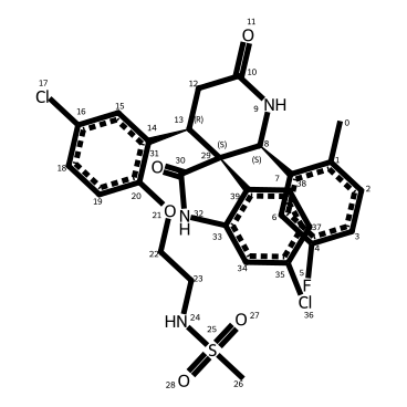 Cc1ccc(F)cc1[C@@H]1NC(=O)C[C@H](c2cc(Cl)ccc2OCCNS(C)(=O)=O)[C@@]12C(=O)Nc1cc(Cl)ccc12